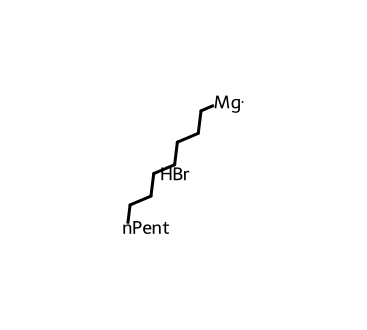 Br.CCCCCCCCCCC[CH2][Mg]